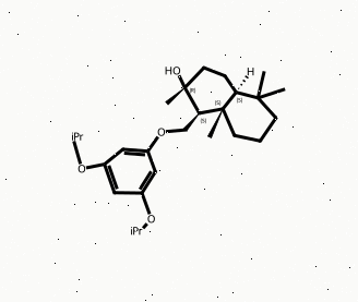 CC(C)Oc1cc(OC[C@@H]2[C@@]3(C)CCCC(C)(C)[C@@H]3CC[C@@]2(C)O)cc(OC(C)C)c1